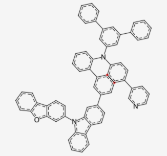 c1ccc(-c2cc(-c3ccccc3)cc(N(c3ccc(-c4cccnc4)cc3)c3ccccc3-c3cccc(-c4ccc5c6ccccc6n(-c6ccc7c(c6)oc6ccccc67)c5c4)c3)c2)cc1